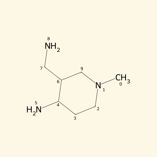 CN1CCC(N)C(CN)C1